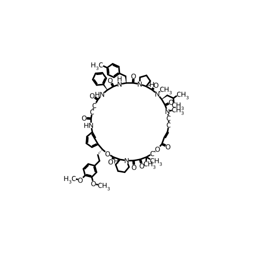 COc1ccc(CC[C@H]2OC(=O)[C@@H]3CCCCN3C(=O)C(=O)C(C)(C)COC(=O)/C=C/CCN(C)C(=O)[C@H](CC(C)C)N(C)C(=O)[C@@H]3CCCN3C(=O)[C@H](Cc3ccc(C)cc3)NC(=O)[C@H](c3ccccc3)NC(=O)CCC(=O)Nc3cccc2c3)cc1OC